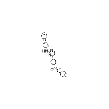 O=C(NCC1CCOCC1)c1ccc(-c2ccnc(Nc3ccc(N4CCOCC4)cc3)n2)cc1